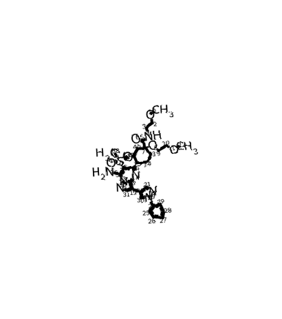 COCCNC(=O)[C@]1(OCCOC)CC[C@H](c2nc3c(-c4cnn(-c5ccccc5)c4)cnn3c(N)c2S(C)(=O)=O)CC1